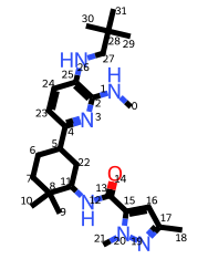 CNc1nc(C2CCC(C)(C)C(NC(=O)c3cc(C)nn3C)C2)ccc1NCC(C)(C)C